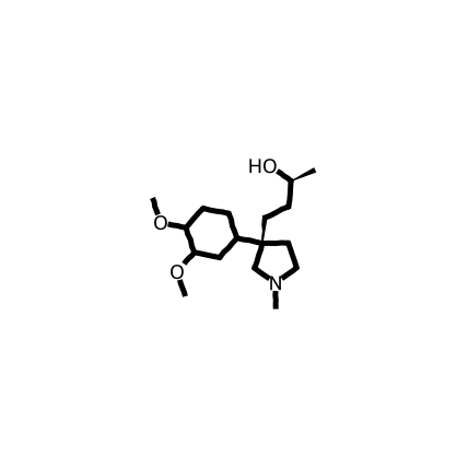 COC1CCC([C@]2(CC[C@H](C)O)CCN(C)C2)CC1OC